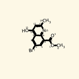 COC(=O)c1cc(Br)cc2c(O)cc(C)nc12